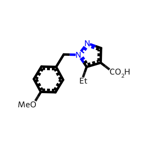 CCc1c(C(=O)O)cnn1Cc1ccc(OC)cc1